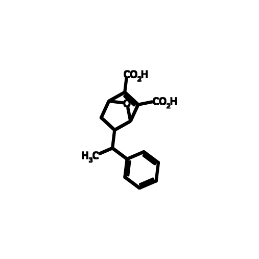 CC(c1ccccc1)C1CC2OC1C(C(=O)O)=C2C(=O)O